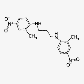 Cc1cc([N+](=O)[O-])ccc1NCCCNc1ccc([N+](=O)[O-])cc1C